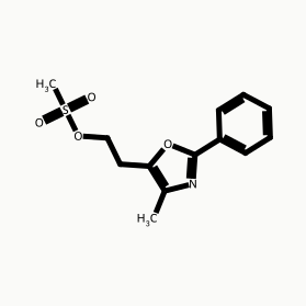 Cc1nc(-c2ccccc2)oc1CCOS(C)(=O)=O